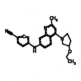 CCOC1CCN(c2cc(C)nc3cc(Nc4ccc(C#N)cc4)ccc23)C1